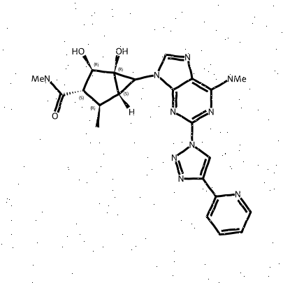 CNC(=O)[C@H]1[C@H](C)[C@H]2C(n3cnc4c(NC)nc(-n5cc(-c6ccccn6)nn5)nc43)[C@@]2(O)[C@@H]1O